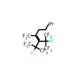 CC(C)CCC(=C(C(F)(C(F)(F)F)C(F)(F)F)C(F)(C(F)(F)F)C(F)(F)F)C(F)(F)F